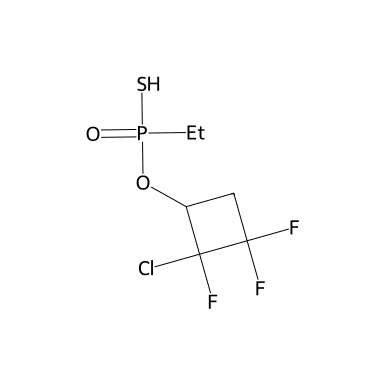 CCP(=O)(S)OC1CC(F)(F)C1(F)Cl